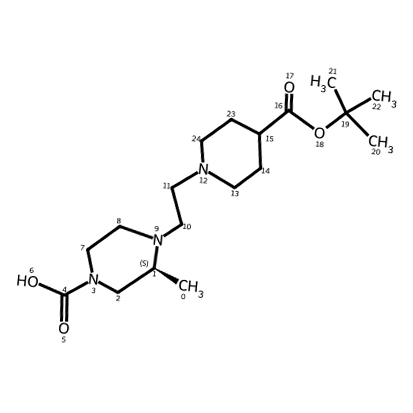 C[C@H]1CN(C(=O)O)CCN1CCN1CCC(C(=O)OC(C)(C)C)CC1